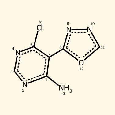 Nc1ncnc(Cl)c1-c1nnco1